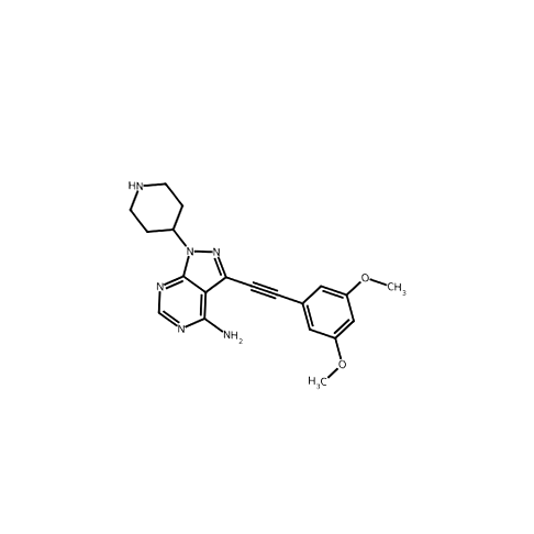 COc1cc(C#Cc2nn(C3CCNCC3)c3ncnc(N)c23)cc(OC)c1